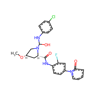 CO[C@H]1C[C@@H](C(=O)Nc2ccc(-n3ccccc3=O)cc2F)N(C(O)Nc2ccc(Cl)cc2)C1